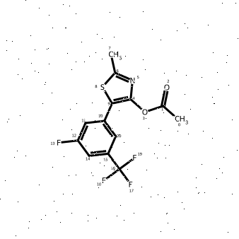 CC(=O)Oc1nc(C)sc1-c1cc(F)cc(C(F)(F)F)c1